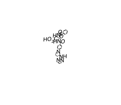 O=C(NC[C@H](NS(=O)(=O)c1ccccc1)C(=O)O)c1ccc(N2CCC[C@H](Nc3ncccn3)C2)cc1